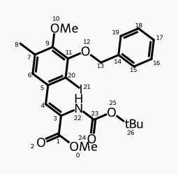 COC(=O)/C(=C/c1cc(C)c(OC)c(OCc2ccccc2)c1I)NC(=O)OC(C)(C)C